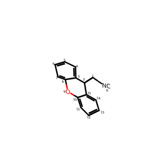 [C-]#[N+]CC1c2ccccc2Oc2ccccc21